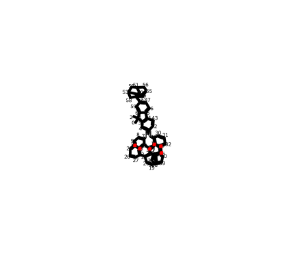 CC1(C)c2cc(N(c3ccccc3-c3cccc4cccc(-c5ccccc5)c34)c3cccc4c3oc3ccccc34)ccc2-c2ccc(C34CC5CC(CC(C5)C3)C4)cc21